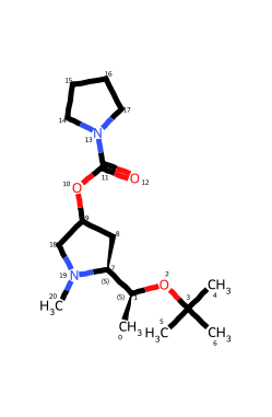 C[C@H](OC(C)(C)C)[C@@H]1CC(OC(=O)N2CCCC2)CN1C